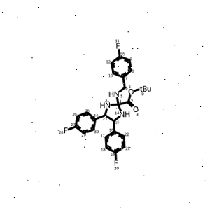 CC(C)(C)OC(=O)C1(NCc2ccc(F)cc2)NC(c2ccc(F)cc2)C(c2ccc(F)cc2)N1